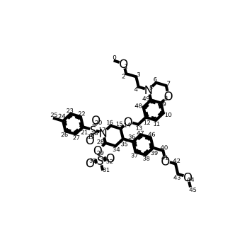 COCCCN1CCOc2ccc(COC3CN(S(=O)(=O)c4ccc(C)cc4)C(OS(C)(=O)=O)CC3c3ccc(COCCOC)cc3)cc21